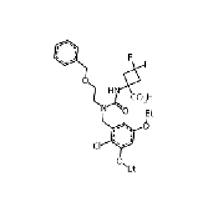 CCOc1cc(CN(CCOCc2ccccc2)C(=O)NC2(C(=O)O)CC(F)(F)C2)c(Cl)c(OCC)c1